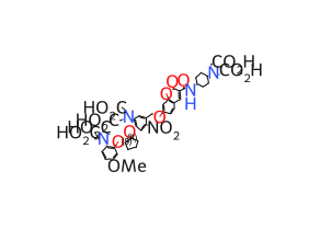 COc1ccc(N(CC(=O)O)CC(=O)O)c(O[C@H]2CCC[C@H]2Oc2cc([N+](=O)[O-])c(COc3ccc4cc(C(=O)N[C@H]5CC[C@H](N(CC(=O)O)CC(=O)O)CC5)c(=O)oc4c3)cc2N(CC(=O)O)CC(=O)O)c1